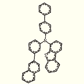 c1ccc(-c2ccc(N(c3cccc(-c4ccc5ccccc5c4)c3)c3cccc4c3sc3ccccc34)cc2)cc1